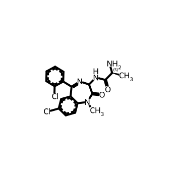 C[C@H](N)C(=O)NC1N=C(c2ccccc2Cl)c2cc(Cl)ccc2N(C)C1=O